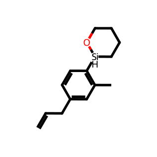 C=CCc1ccc([SiH]2CCCCO2)c(C)c1